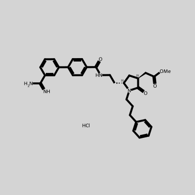 COC(=O)C[C@@H]1C[C@@H](CCNC(=O)c2ccc(-c3cccc(C(=N)N)c3)cc2)N(CCCc2ccccc2)C1=O.Cl